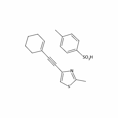 Cc1ccc(S(=O)(=O)O)cc1.Cc1nc(C#CC2=CCCCC2)cs1